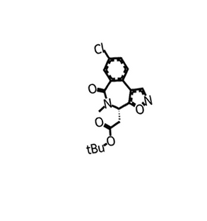 CN1C(=O)c2cc(Cl)ccc2-c2cnoc2[C@@H]1CC(=O)OC(C)(C)C